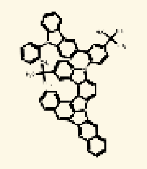 CC(C)(C)c1ccc(-n2c3ccc(C(C)(C)C)cc3c3c4c5c6ccccc6cc6c7cc8ccccc8cc7n(c4ccc32)c65)c(-c2ccc3c(c2)c2ccccc2n3-c2ccccc2)c1